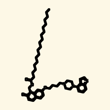 CCCCCCCCCCCCCCCCCCCC(=O)OCn1c(=O)ccc2ccc(OCCCCN3CCN(c4cccc5sccc45)CC3)cc21